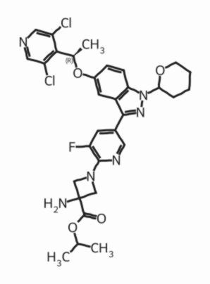 CC(C)OC(=O)C1(N)CN(c2ncc(-c3nn(C4CCCCO4)c4ccc(O[C@H](C)c5c(Cl)cncc5Cl)cc34)cc2F)C1